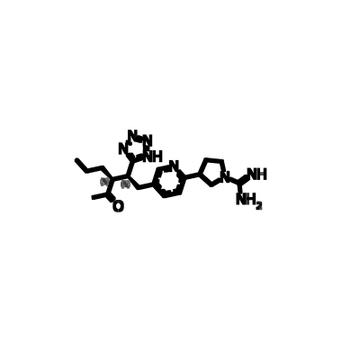 CCC[C@H](C(C)=O)[C@H](Cc1ccc(C2CCN(C(=N)N)C2)nc1)c1nnn[nH]1